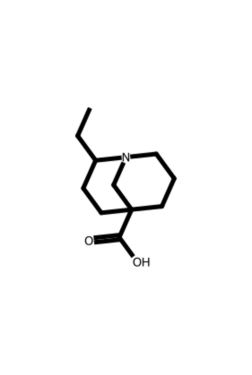 CCC1CCC2(C(=O)O)CCCN1C2